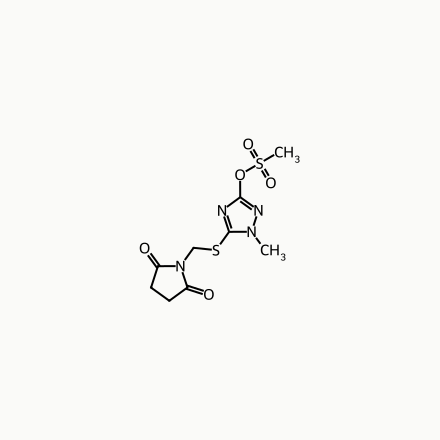 Cn1nc(OS(C)(=O)=O)nc1SCN1C(=O)CCC1=O